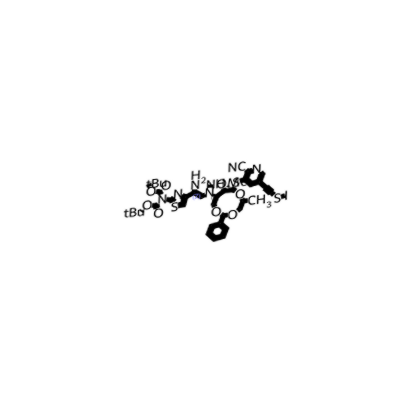 COC1C(Sc2cc(C#CSI)cnc2C#N)OC(C)COC(c2ccccc2)OC[C@H]1N(N)/C=C(\N)c1csc(N(C(=O)OC(C)(C)C)C(=O)OC(C)(C)C)n1